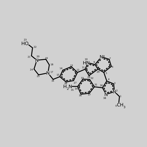 CCn1cc(-c2ccnc3[nH]c(-c4ccc(CN5CCN(CCO)CC5)cc4)cc23)c(-c2ccc(N)cc2)n1